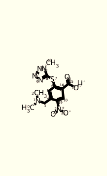 CN(C)Cc1cc(Sc2nnnn2C)c(C(=O)[O-])cc1[N+](=O)[O-].[Li+]